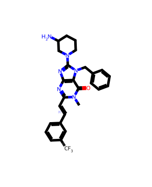 Cn1c(/C=C/c2cccc(C(F)(F)F)c2)nc2nc(N3CCCC(N)C3)n(Cc3ccccc3)c2c1=O